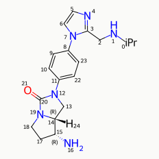 CC(C)NCc1nccn1-c1ccc(N2C[C@@H]3[C@H](N)CCN3C2=O)cc1